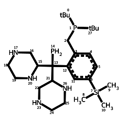 CC(C)(C)P(Cc1ccc([Si](C)(C)C)cc1C(P)(C1CNCCN1)C1CNCCN1)C(C)(C)C